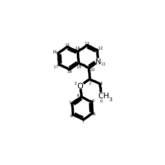 CCC(Oc1ccccc1)c1nccc2ccccc12